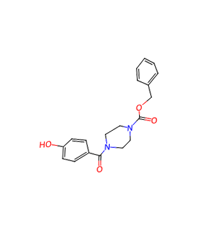 O=C(OCc1ccccc1)N1CCN(C(=O)c2ccc(O)cc2)CC1